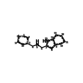 [c]1ccc(CNCc2cc3ccccc3[nH]2)cc1